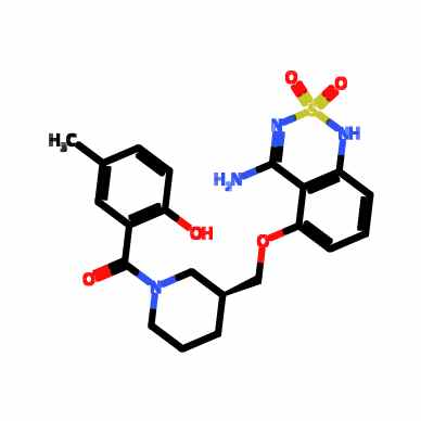 Cc1ccc(O)c(C(=O)N2CCC[C@H](COc3cccc4c3C(N)=NS(=O)(=O)N4)C2)c1